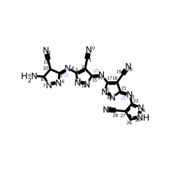 N#CC1=C(/N=C2\N=NC(N)C2C#N)N=N/C1=N\C1=C(C#N)C(=N/c2n[nH]cc2C#N)/N=N1